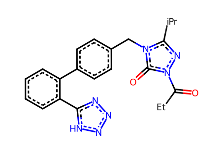 CCC(=O)n1nc(C(C)C)n(Cc2ccc(-c3ccccc3-c3nnn[nH]3)cc2)c1=O